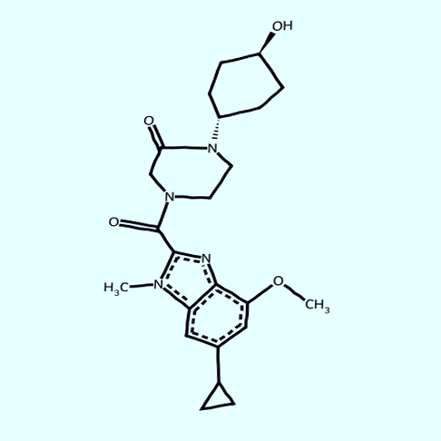 COc1cc(C2CC2)cc2c1nc(C(=O)N1CCN([C@H]3CC[C@H](O)CC3)C(=O)C1)n2C